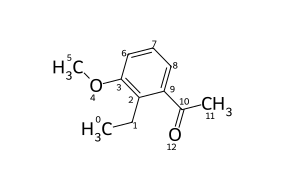 CCc1c(OC)cccc1C(C)=O